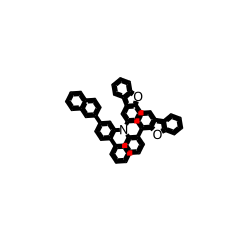 c1ccc(-c2ccc(-c3ccc4ccccc4c3)cc2N(c2ccc3oc4ccccc4c3c2)c2ccccc2-c2cccc3c2oc2ccccc23)cc1